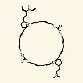 C=CN/C(=C\C)CCC1CCC2(C/C=C/C/C=C/COC(=O)CC/C=C/C/C=C/CC3(C/C=C/C/C=C/CCC(=O)OC/C=C/C/C=C/C2)CCC(CCN(C)C)C3)O1